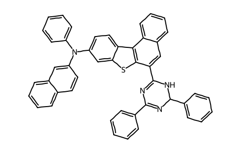 c1ccc(C2=NC(c3ccccc3)NC(c3cc4ccccc4c4c3sc3cc(N(c5ccccc5)c5ccc6ccccc6c5)ccc34)=N2)cc1